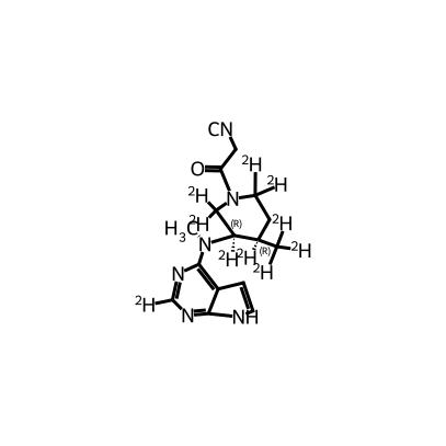 [2H]c1nc(N(C)[C@@]2([2H])C([2H])([2H])N(C(=O)C[N+]#[C-])C([2H])([2H])C[C@@]2([2H])C([2H])([2H])[2H])c2cc[nH]c2n1